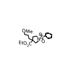 CCOC(=O)C1(CCCOC)CCN(S(=O)(=O)c2ccccc2)CC1